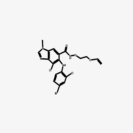 C=COCCONC(=O)c1cc2c(ncn2C)c(Cl)c1Nc1ccc(Br)cc1Cl